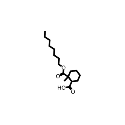 CCCCCCCCOC(=O)C1(C)CCCCC1C(=O)O